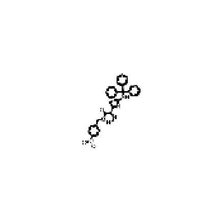 O=C(OCc1ccc([N+](=O)[O-])cc1)C(=NO)c1csc(NC(c2ccccc2)(c2ccccc2)c2ccccc2)n1